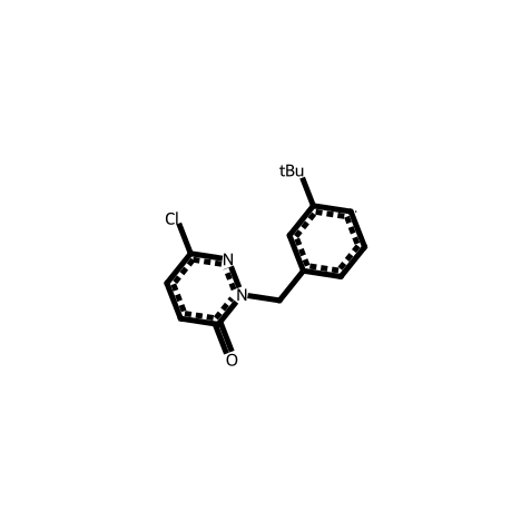 CC(C)(C)c1[c]ccc(Cn2nc(Cl)ccc2=O)c1